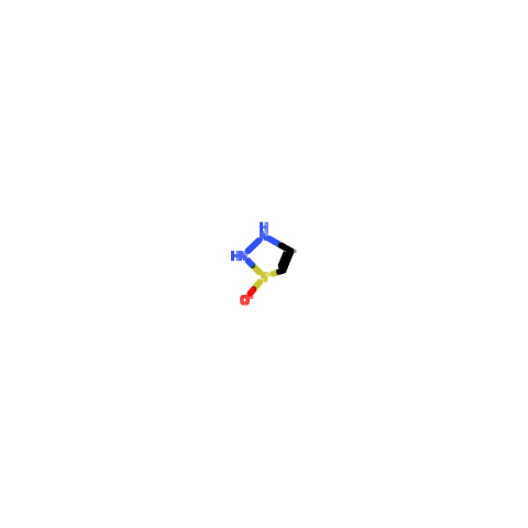 [O-][S+]1C=[C]NN1